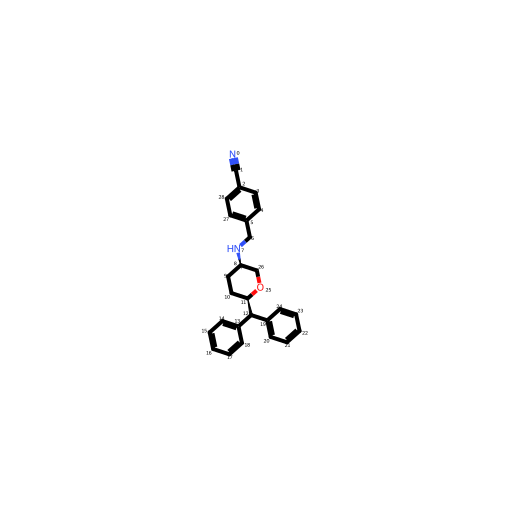 N#Cc1ccc(CN[C@@H]2CC[C@H](C(c3ccccc3)c3ccccc3)OC2)cc1